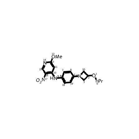 CCCOC1CN(c2ccc(Nc3cc(OC)ncc3[N+](=O)[O-])cc2)C1